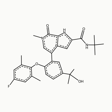 Cc1cc(F)cc(C)c1Oc1ccc(C(C)(C)O)cc1-c1cn(C)c(=O)c2[nH]c(C(=O)NC(C)(C)C)cc12